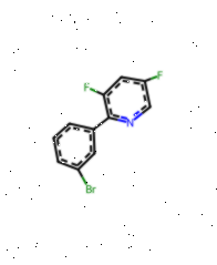 Fc1cnc(-c2cccc(Br)c2)c(F)c1